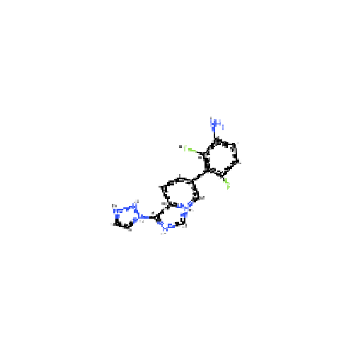 Nc1ccc(F)c(-c2ccc3c(-n4ccnn4)ncn3c2)c1F